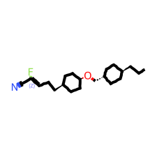 CCC[C@H]1CC[C@H](CO[C@H]2CC[C@H](CC/C=C(\F)C#N)CC2)CC1